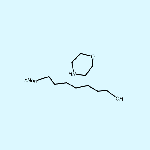 C1COCCN1.CCCCCCCCCCCCCCCCO